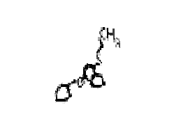 CCCCSc1ccc(OCC2CCCCC2)c2ccccc12